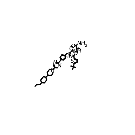 CCCC1CCC(C2CCN(c3cnc(-c4ccc(C[C@H](NC(=O)c5ccc(C(C)(C)C)s5)C(=O)N[C@H](C)C(N)=O)cc4)nc3)CC2)CC1